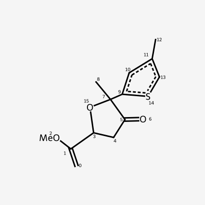 C=C(OC)C1CC(=O)C(C)(c2cc(C)cs2)O1